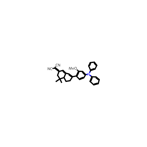 COc1cc(N(c2ccccc2)c2ccccc2)ccc1C1=CC2=CC(=C(C#N)C#N)CC(C)(C)C2CC1